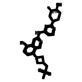 CC(C)c1ccc(N2CC(CS(C)(=O)=O)C2)c2cnc(Nc3ccnc(N4CC[C@H](O)[C@H](C)C4)n3)cc12